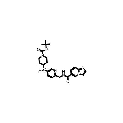 CC(C)(C)OC(=O)N1CCC([S+]([O-])c2ccc(CNC(=O)c3ccc4nccn4c3)nc2)CC1